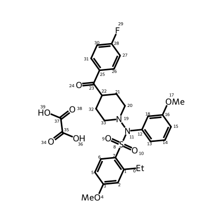 CCc1cc(OC)ccc1S(=O)(=O)N(c1cccc(OC)c1)N1CCC(C(=O)c2ccc(F)cc2)CC1.O=C(O)C(=O)O